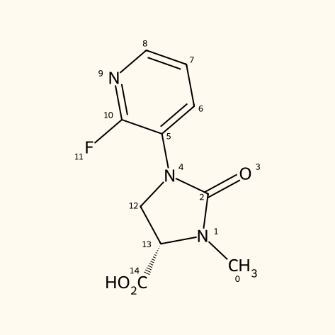 CN1C(=O)N(c2cccnc2F)C[C@H]1C(=O)O